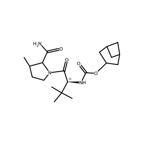 CC1CCN(C(=O)[C@@H](NC(=O)OC2CC3CC(C3)C2)C(C)(C)C)C1C(N)=O